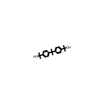 CC(C)(O)c1ccc(C(C)(C)c2ccc(C(C)(C)O)cc2)cc1